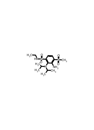 CCNS(=O)(=O)c1ccc(S(C)(=O)=O)c(N)c1N(C(C)C)C(C)C